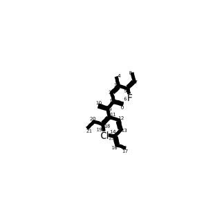 C=C(/C=C(C)\C(F)=C/C)C(=C)C(/C=C\C(Cl)=C/C)=C(/C)CC